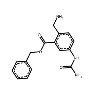 NCc1ccc(NC(N)=O)cc1C(=O)OCc1ccccc1